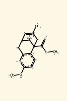 COC(=O)C12CC(C)=CC(Cc3nc(OC)ccc31)C2O